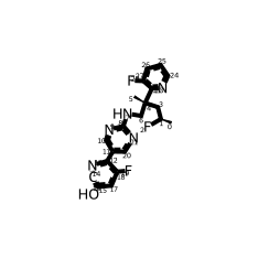 C[C@@H](F)C[C@](C)(CNc1ncc(-c2ncc(O)cc2F)cn1)c1ncccc1F